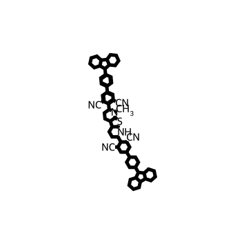 CN1C(c2c(C#N)cc(-c3ccc(C4C5CCCCC5C5CCCCC54)cc3)cc2C#N)CCC2C3CCC(C4C(C#N)CC(C5CCC(C6C7CCCCC7C7CCCCC76)CC5)CC4C#N)NC3SC21